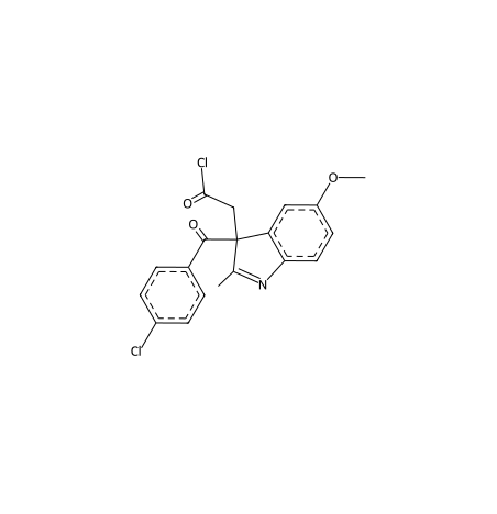 COc1ccc2c(c1)C(CC(=O)Cl)(C(=O)c1ccc(Cl)cc1)C(C)=N2